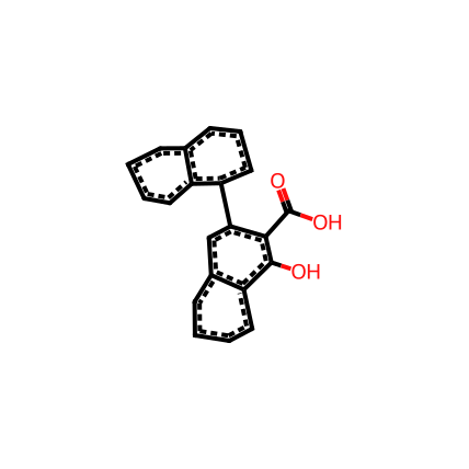 O=C(O)c1c(-c2cccc3ccccc23)cc2ccccc2c1O